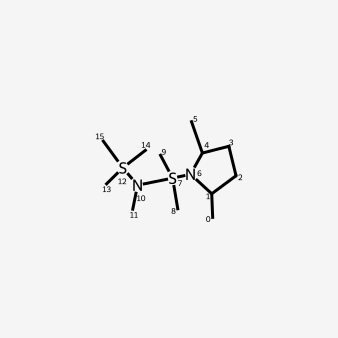 CC1CCC(C)N1S(C)(C)N(C)S(C)(C)C